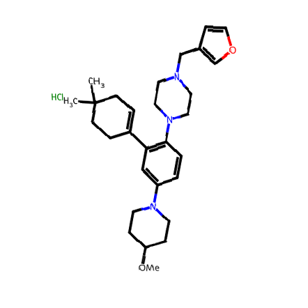 COC1CCN(c2ccc(N3CCN(Cc4ccoc4)CC3)c(C3=CCC(C)(C)CC3)c2)CC1.Cl